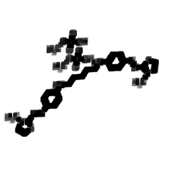 COS(=O)(=O)O.COS(=O)(=O)O.C[n+]1ccsc1N=Nc1ccc(NCCCCCNc2ccc(N=Nc3scc[n+]3C)cc2)cc1